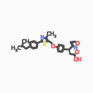 Cc1nc(-c2ccc(CC(C)C)cc2)sc1COc1ccc([C@H](CC(=O)O)c2ccon2)cc1